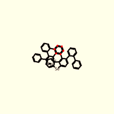 c1ccc(-c2ccccc2-c2ccc3[se]c4ccccc4c3c2-c2ccccc2-c2nnnc(-c3ccccc3)c2-c2ccccc2-c2ccccc2)cc1